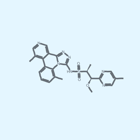 CO[C@H](c1ncc(C)cn1)[C@H](C)S(=O)(=O)Nc1nnc2c3cncc(C)c3c3cccc(C)c3n12